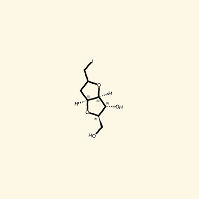 OC[C@H]1O[C@H]2CC(CI)O[C@H]2[C@@H]1O